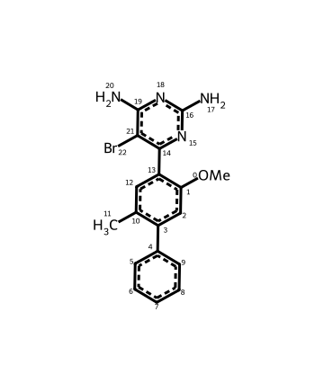 COc1cc(-c2ccccc2)c(C)cc1-c1nc(N)nc(N)c1Br